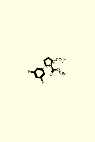 CC(C)(C)OC(=O)N1[C@@H](C(=O)O)CC[C@H]1c1cc(F)cc(F)c1